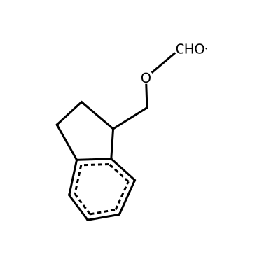 O=[C]OCC1CCc2ccccc21